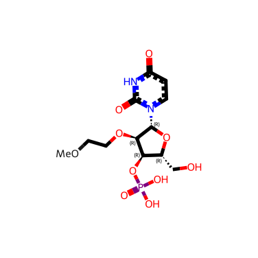 COCCO[C@@H]1[C@H](OP(=O)(O)O)[C@@H](CO)O[C@H]1n1ccc(=O)[nH]c1=O